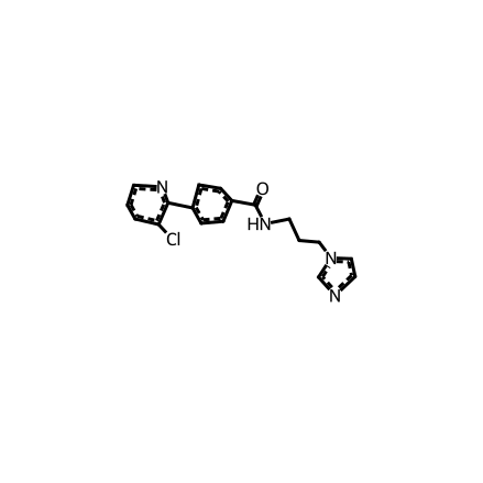 O=C(NCCCn1ccnc1)c1ccc(-c2ncccc2Cl)cc1